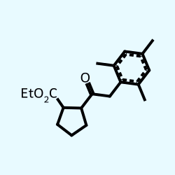 CCOC(=O)C1CCCC1C(=O)Cc1c(C)cc(C)cc1C